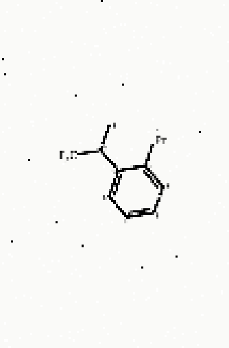 CC(C)c1ccccc1C(C)C(F)(F)F